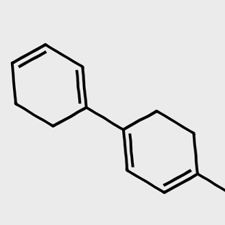 CC1=CC=C(C2=CC=CCC2)CC1